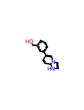 OCc1cccc(C2=CN3C=CNC3C=C2)c1